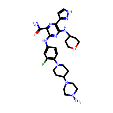 CN1CCN(C2CCN(c3ccc(Nc4nc(NC5CCOCC5)c(-c5cc[nH]n5)nc4C(N)=O)cc3F)CC2)CC1